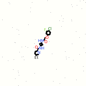 CCc1ccc(C(=O)NC23CC(NC(=O)COc4ccc(Cl)c(F)c4)(C2)C3)nc1